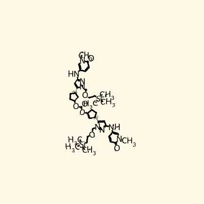 Cn1cc(Nc2cc([C@H]3CCC(OC(=O)OC4CC[C@H](c5cc(Nc6ccc(=O)n(C)c6)nn5COCC[Si](C)(C)C)C4)C3)n(COCC[Si](C)(C)C)n2)ccc1=O